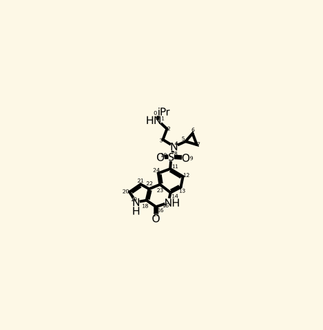 CC(C)NCCN(C1CC1)S(=O)(=O)c1ccc2[nH]c(=O)c3[nH]ccc3c2c1